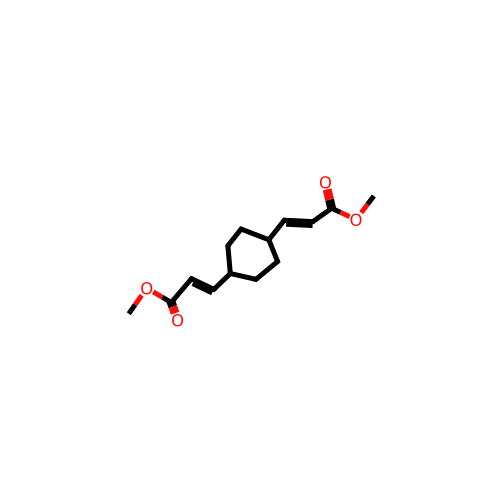 COC(=O)C=CC1CCC(C=CC(=O)OC)CC1